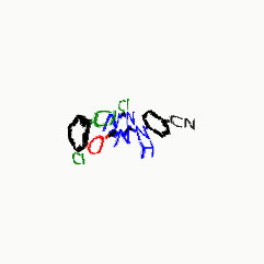 N#Cc1ccc(Nc2nc(Cl)nc(Oc3c(Cl)cccc3Cl)n2)cc1